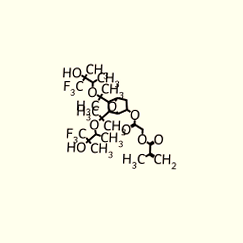 C=C(C)C(=O)OCC(=O)OC1CC2OC1C(C(C)(C)OC(C)C(C)(O)C(F)(F)F)C2C(C)(C)OC(C)C(C)(O)C(F)(F)F